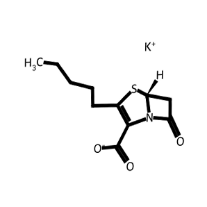 CCCCCC1=C(C(=O)[O-])N2C(=O)C[C@H]2S1.[K+]